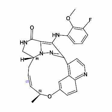 COc1c(F)cccc1Nc1c2nn3c1C(=O)NC[C@H]3C/C=C\[C@H](C)Oc1ccc3nccc-2c3c1